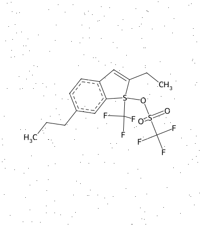 CCCc1ccc2c(c1)S(OS(=O)(=O)C(F)(F)F)(C(F)(F)F)C(CC)=C2